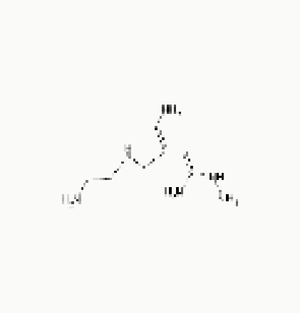 CN/C(N)=C/C(=C\N)CNCCN